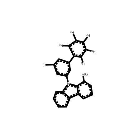 [2H]c1c([2H])c([2H])c(-c2cc(Cl)cc(-n3c4ccccc4c4cccc(CCCC)c43)c2)c([2H])c1[2H]